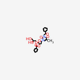 Cc1cn(C2CC(OC(=O)c3ccccc3)C(OCC(O)CO)O2)c(=O)n(CC(=O)c2ccccc2)c1=O